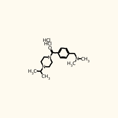 CC(C)N1CCN(C(=O)c2ccc(CN(C)C)cc2)CC1.Cl.Cl